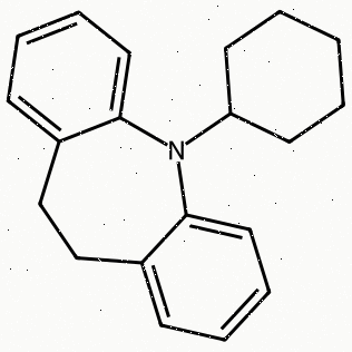 c1ccc2c(c1)CCc1ccccc1N2C1CCCCC1